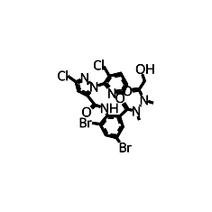 CN(C(=O)CO)N(C)C(=O)c1cc(Br)cc(Br)c1NC(=O)c1cc(Cl)nn1-c1ncccc1Cl